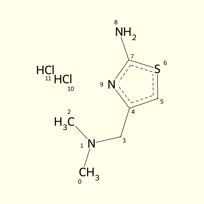 CN(C)Cc1csc(N)n1.Cl.Cl